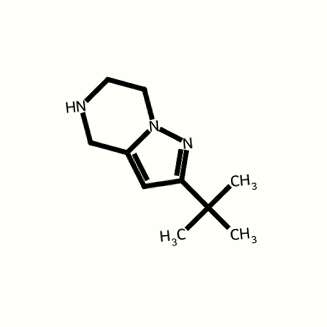 CC(C)(C)c1cc2n(n1)CCNC2